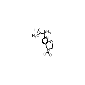 CC(C)N(C)c1ccc2c(n1)OCCN(C(=O)O)C2